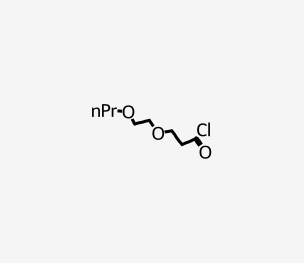 CCCOCCOCCC(=O)Cl